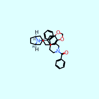 O=C(c1ccccc1)N1CCC(CCN2[C@@H]3CC[C@H]2C[C@@H](C2C=C4OCOC4=CC2)C3)(c2ccccc2)CC1